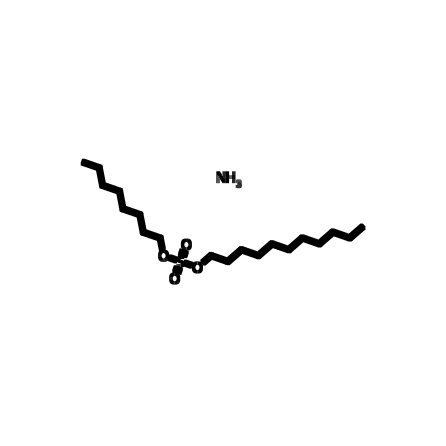 CCCCCCCCCCCOS(=O)(=O)OCCCCCCCC.N